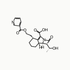 C[C@@H](O)[C@H]1C(=O)N2C(C(=O)O)=C3[C@H](CCOC(=O)c4cccnc4)CCC[C@H]3[C@H]12